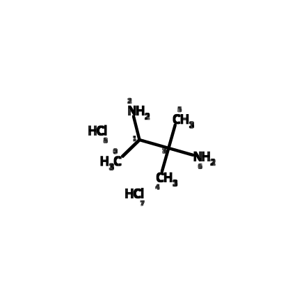 CC(N)C(C)(C)N.Cl.Cl